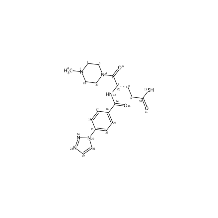 CN1CCN(C(=O)[C@H](CCC(=O)S)NC(=O)c2ccc(-n3ccnn3)cc2)CC1